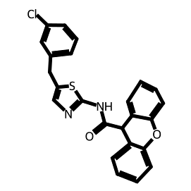 O=C(Nc1ncc(Cc2cccc(Cl)c2)s1)C1c2ccccc2Oc2ccccc21